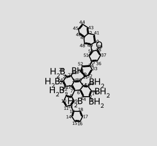 Bc1c(B)c(B)c2c(-c3cccc(-c4ccccc4)c3)c3c(B)c(B)c(B)c(B)c3c(-c3ccc(-c4ccc5oc6cc7ccccc7cc6c5c4)cc3)c2c1B